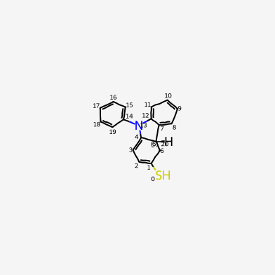 SC1=CC=C2[C@@H](C1)c1ccccc1N2c1ccccc1